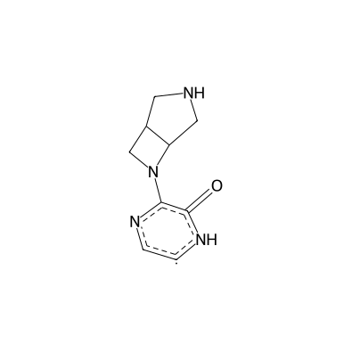 O=c1[nH][c]cnc1N1CC2CNCC21